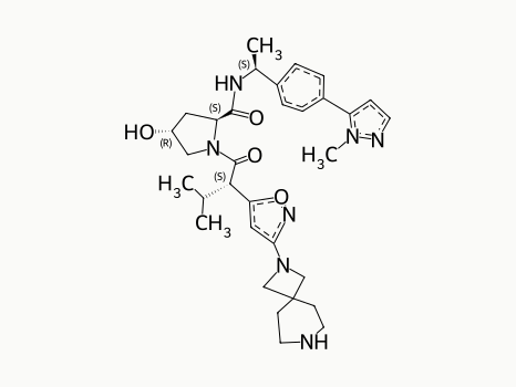 CC(C)[C@H](C(=O)N1C[C@H](O)C[C@H]1C(=O)N[C@@H](C)c1ccc(-c2ccnn2C)cc1)c1cc(N2CC3(CCNCC3)C2)no1